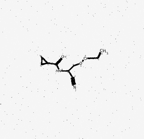 CCOOCC(C#N)NC(=O)C1CC1